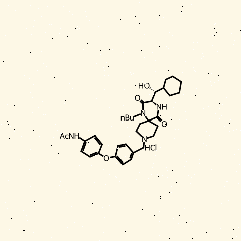 CCCCN1C(=O)[C@@H]([C@H](O)C2CCCCC2)NC(=O)C12CCN(Cc1ccc(Oc3ccc(NC(C)=O)cc3)cc1)CC2.Cl